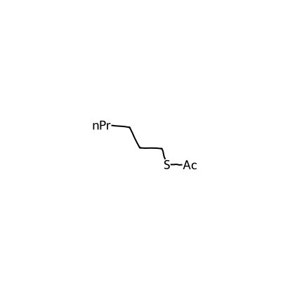 CCCCCCSC(C)=O